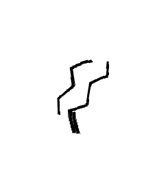 C=CCCCC.CCCCC